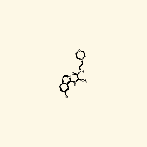 CC(Nc1ncnc2ccc(Br)cc12)C(=O)NCCN1CCOCC1